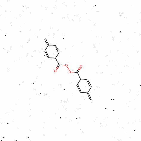 C=C1C=CC(C(=O)OOC(=O)C2C=CC(=C)C=C2)C=C1